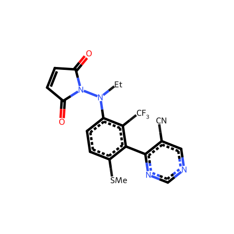 CCN(c1ccc(SC)c(-c2ncncc2C#N)c1C(F)(F)F)N1C(=O)C=CC1=O